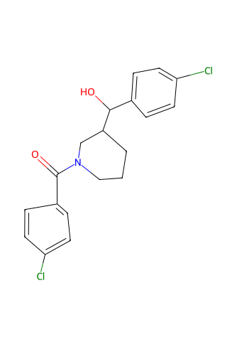 O=C(c1ccc(Cl)cc1)N1CCCC(C(O)c2ccc(Cl)cc2)C1